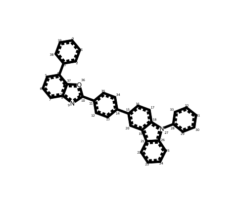 c1ccc(-c2cccc3nc(-c4ccc(-c5ccc6c(c5)c5ccccc5n6-c5ccccc5)cc4)oc23)cc1